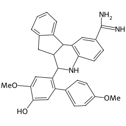 COc1ccc(-c2cc(O)c(OC)cc2C2Nc3ccc(C(=N)N)cc3C3c4ccccc4CC23)cc1